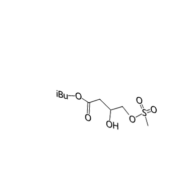 CCC(C)OC(=O)CC(O)COS(C)(=O)=O